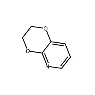 [c]1cnc2c(c1)OCCO2